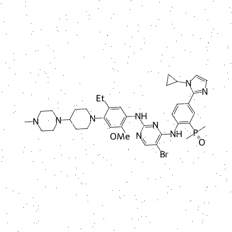 CCc1cc(Nc2ncc(Br)c(Nc3ccc(-c4nccn4C4CC4)cc3P(C)(C)=O)n2)c(OC)cc1N1CCC(N2CCN(C)CC2)CC1